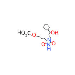 O=C(O)COCCCCC1C(=O)NC(=O)N1CCC(O)C1CCCCC1